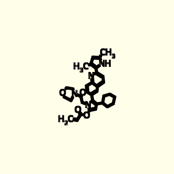 C=CC(=O)Oc1cc(C2CCCCC2)c(-c2ccc3nc(-c4[nH]c(C)cc4C)ccc3c2)n1CC(=O)N1CCOCC1